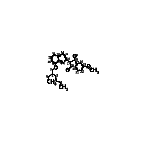 CCCCC(CC)COc1cccc2ccc(C3C(=O)c4ccc(OC)cc4C3=O)nc12